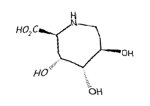 O=C(O)[C@H]1NC[C@@H](O)[C@H](O)[C@@H]1O